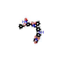 O=CNc1cc([C@@H](O)CN(CCc2ccc(Nc3ccc(S(=O)(=O)N4CCOCC4)cc3)cc2)Cc2ccccc2)ccc1OCc1ccccc1